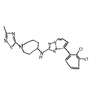 Cc1nsc(N2CCC(Nc3nc4c(-c5cccc(Cl)c5Cl)cccn4n3)CC2)n1